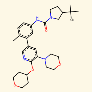 Cc1ccc(NC(=O)N2CCC(C(C)(C)C#N)C2)cc1-c1cnc(OC2CCOCC2)c(N2CCOCC2)c1